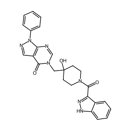 O=C(c1n[nH]c2ccccc12)N1CCC(O)(Cn2cnc3c(cnn3-c3ccccc3)c2=O)CC1